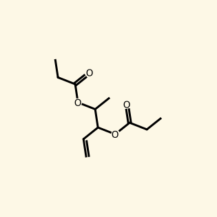 C=CC(OC(=O)CC)C(C)OC(=O)CC